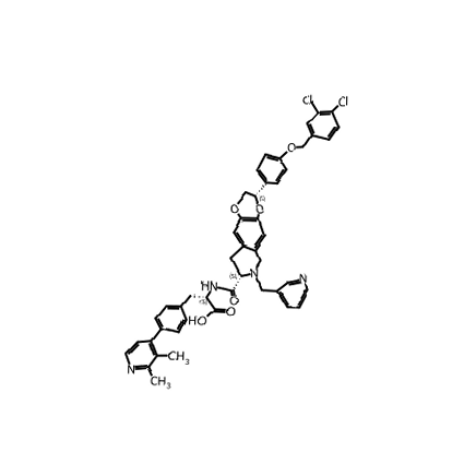 Cc1nccc(-c2ccc(C[C@H](NC(=O)[C@@H]3Cc4cc5c(cc4CN3Cc3cccnc3)O[C@@H](c3ccc(OCc4ccc(Cl)c(Cl)c4)cc3)CO5)C(=O)O)cc2)c1C